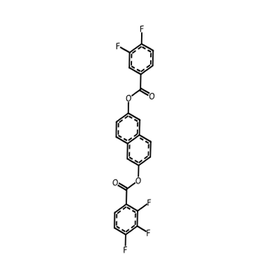 O=C(Oc1ccc2cc(OC(=O)c3ccc(F)c(F)c3F)ccc2c1)c1ccc(F)c(F)c1